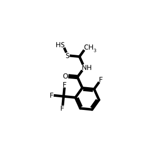 CC(NC(=O)c1c(F)cccc1C(F)(F)F)SS